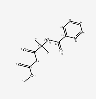 COC(=O)CC(=O)C(C)(C)NC(=O)c1ccccn1